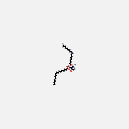 CCCCCCCC/C=C\CCCCCCCC(=O)OC(OC(=O)CCCCCCC/C=C\CCCCCCCC)C(CN(C)C)C(C)=O